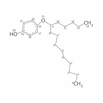 CCCCCCCCCC(CCCCC)Oc1ccc(O)cc1